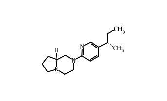 CC[C@H](C)c1ccc(N2CCN3CCC[C@@H]3C2)nc1